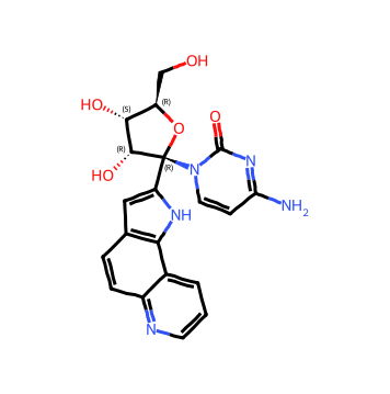 Nc1ccn([C@]2(c3cc4ccc5ncccc5c4[nH]3)O[C@H](CO)[C@@H](O)[C@H]2O)c(=O)n1